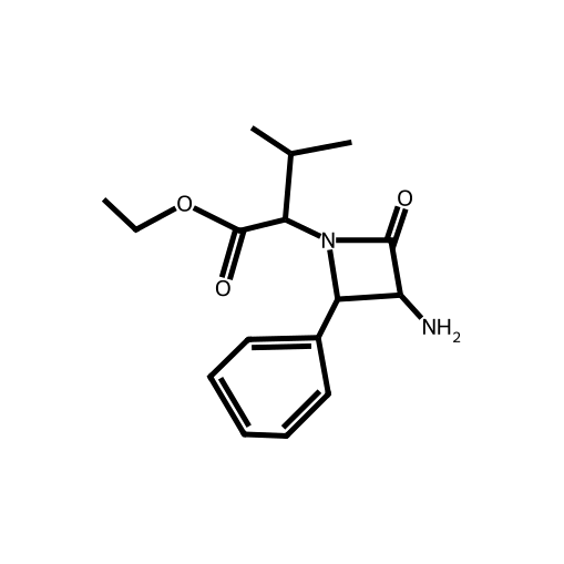 CCOC(=O)C(C(C)C)N1C(=O)C(N)C1c1ccccc1